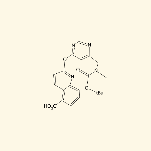 CN(Cc1cc(Oc2ccc3c(C(=O)O)cccc3n2)ncn1)C(=O)OC(C)(C)C